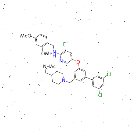 COc1ccc(CNc2ncc(Oc3cc(CN4CCC(CNC(C)=O)CC4)cc(-c4cc(Cl)cc(Cl)c4)c3)cc2F)c(OC)c1